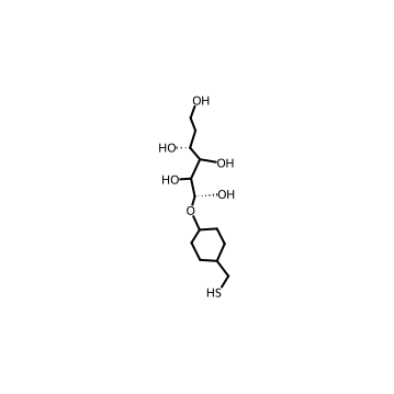 OCC[C@@H](O)C(O)C(O)[C@H](O)OC1CCC(CS)CC1